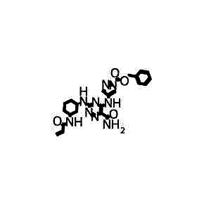 C=CC(=O)NC1CCC[C@@H](Nc2nnc(C(N)=O)c(Nc3cnn(C(=O)OCc4ccccc4)c3)n2)C1